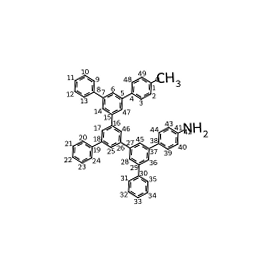 Cc1ccc(-c2cc(-c3ccccc3)cc(-c3cc(-c4ccccc4)cc(-c4cc(-c5ccccc5)cc(-c5ccc(N)cc5)c4)c3)c2)cc1